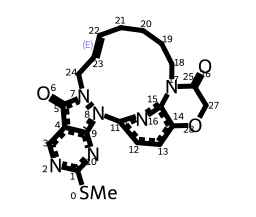 CSc1ncc2c(=O)n3n(c2n1)-c1ccc2c(n1)N(CCCC/C=C/C3)C(=O)CO2